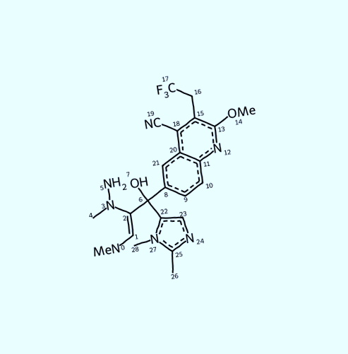 CN/C=C(\N(C)N)C(O)(c1ccc2nc(OC)c(CC(F)(F)F)c(C#N)c2c1)c1cnc(C)n1C